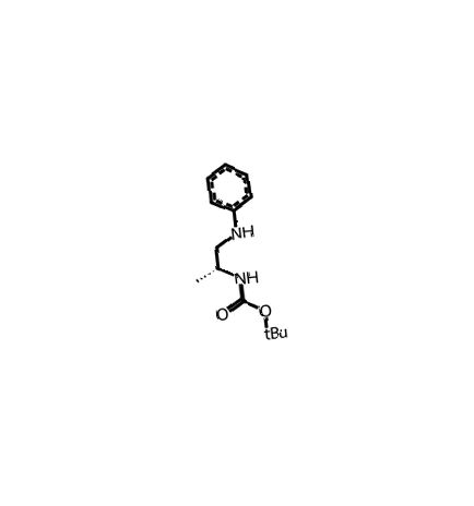 C[C@H](CNc1ccccc1)NC(=O)OC(C)(C)C